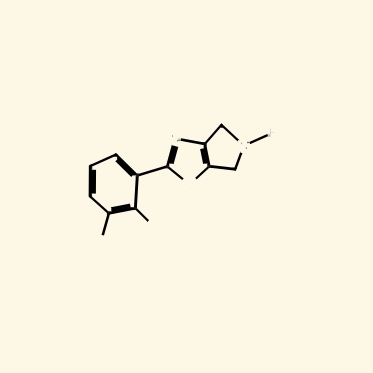 [CH2]CN1Cc2nc(-c3cccc(Br)c3C)oc2C1